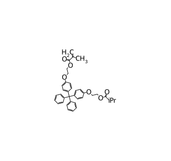 C=C(C)C(=O)OCCOc1ccc(C(c2ccccc2)(c2ccccc2)c2ccc(OCCOC(=O)C(C)C)cc2)cc1